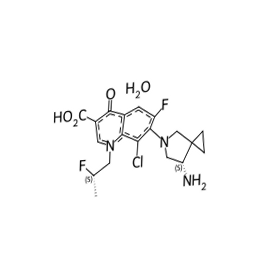 C[C@H](F)Cn1cc(C(=O)O)c(=O)c2cc(F)c(N3C[C@@H](N)C4(CC4)C3)c(Cl)c21.O